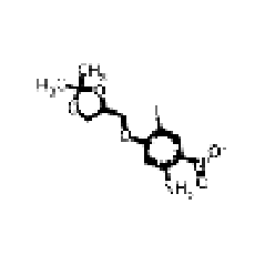 CC1(C)OCC(COc2cc(N)c([N+](=O)[O-])cc2I)O1